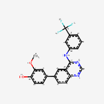 COc1cc(-c2ccc3ncnc(Nc4cccc(C(F)(F)F)c4)c3c2)ccc1O